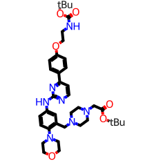 CC(C)(C)OC(=O)CN1CCN(Cc2cc(Nc3nccc(-c4ccc(OCCNC(=O)OC(C)(C)C)cc4)n3)ccc2N2CCOCC2)CC1